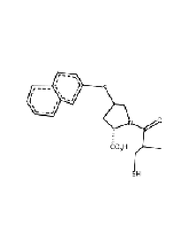 CC(CS)C(=O)N1CC(Sc2ccc3ccccc3c2)C[C@H]1C(=O)O